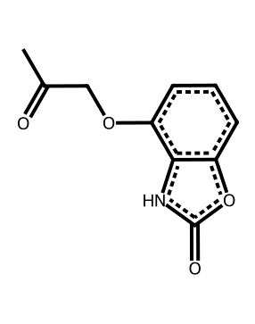 CC(=O)COc1cccc2oc(=O)[nH]c12